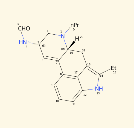 CCCN1C[C@@H](NC=O)C=C2c3cccc4[nH]c(CC)c(c34)C[C@H]21